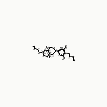 C=CCCc1c(F)cc(C2CC[C@@H]3C[C@H](CCC=C)CC[C@@H]3C2)cc1F